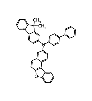 CC1(C)c2ccccc2-c2ccc(N(c3ccc(-c4ccccc4)cc3)c3ccc4c(ccc5oc6ccccc6c54)c3)cc21